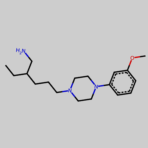 CCC(CN)CCCN1CCN(c2cccc(OC)c2)CC1